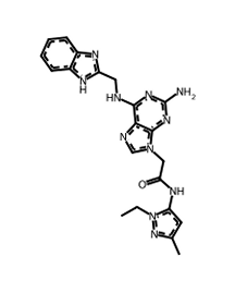 CCn1nc(C)cc1NC(=O)Cn1cnc2c(NCc3nc4ccccc4[nH]3)nc(N)nc21